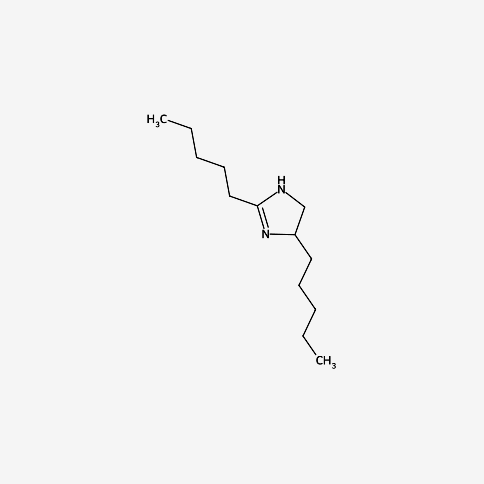 CCCCCC1=NC(CCCCC)CN1